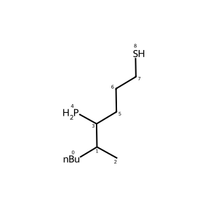 CCCCC(C)C(P)CCCS